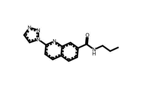 CCCNC(=O)c1ccc2ccc(-n3ccnn3)nc2c1